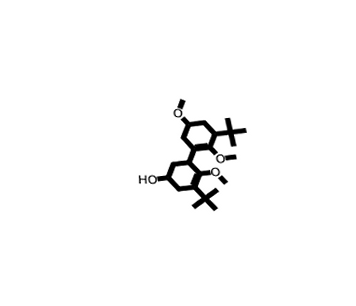 COC1=C(C(C)(C)C)CC(O)CC1C1=C(OC)C(C(C)(C)C)CC(OC)C1